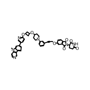 Cn1c2ccncc2c2ccc(-c3ccc(O[C@H]4C[C@H](OC5CCN(c6cccc(C#CCOc7ccc8c(c7)C(=O)N(C7CCC(=O)NC7=O)C8=O)c6)CC5)C4)nc3)cc21